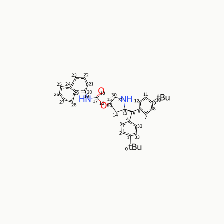 CC(C)(C)c1ccc(C(c2ccc(C(C)(C)C)cc2)[C@H]2C[C@@H](OC(=O)Nc3cccc4ccccc34)CN2)cc1